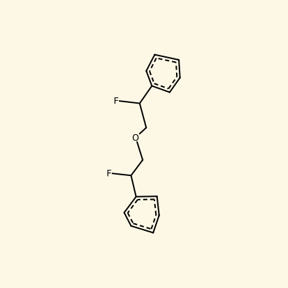 FC(COCC(F)c1ccccc1)c1ccccc1